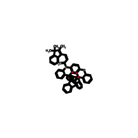 C=C(/C=C\C1=C(C)C(C)(C)c2ccccc21)N(c1ccc2c(c1)C1(c3ccccc3O2)c2ccccc2-c2ccccc21)c1ccccc1-c1cccc2oc3ccccc3c12